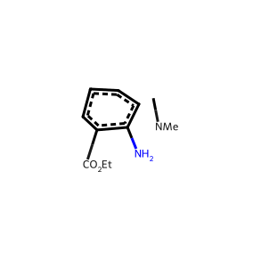 CCOC(=O)c1ccccc1N.CNC